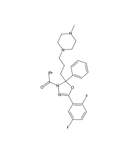 CC(C)C(=O)N1N=C(c2cc(F)ccc2F)OC1(CCCN1CCN(C)CC1)c1ccccc1